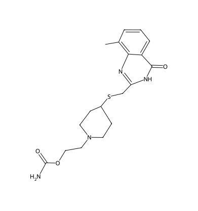 Cc1cccc2c(=O)[nH]c(CSC3CCN(CCOC(N)=O)CC3)nc12